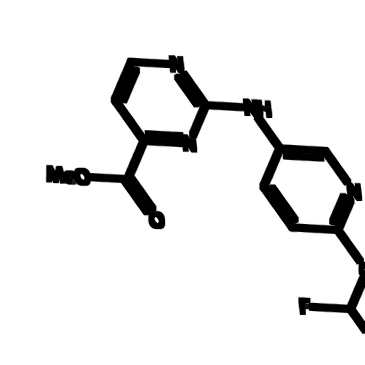 COC(=O)c1ccnc(Nc2ccc(OC(F)F)nc2)n1